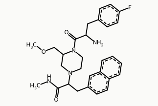 CNC(=O)C(Cc1ccc2ccccc2c1)N1CCN(C(=O)C(N)Cc2ccc(F)cc2)C(COC)C1